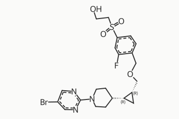 O=S(=O)(CCO)c1ccc(COC[C@@H]2C[C@@H]2C2CCN(c3ncc(Br)cn3)CC2)c(F)c1